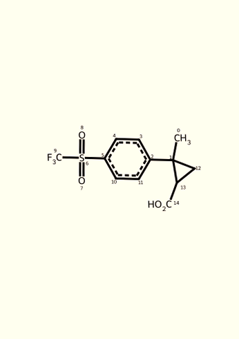 CC1(c2ccc(S(=O)(=O)C(F)(F)F)cc2)CC1C(=O)O